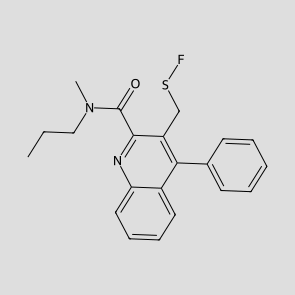 CCCN(C)C(=O)c1nc2ccccc2c(-c2ccccc2)c1CSF